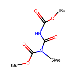 CSN(C(=O)NC(=O)OC(C)(C)C)C(=O)OC(C)(C)C